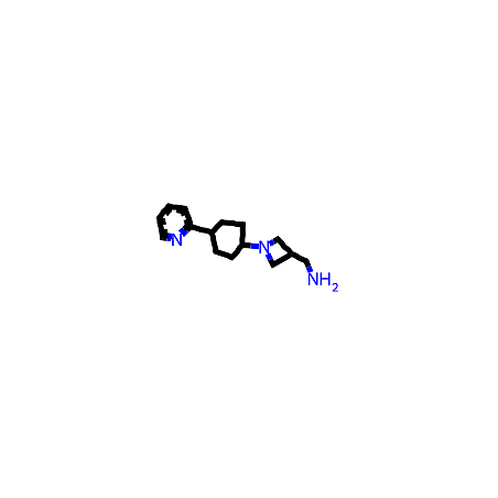 NCC1CN(C2CCC(c3ccccn3)CC2)C1